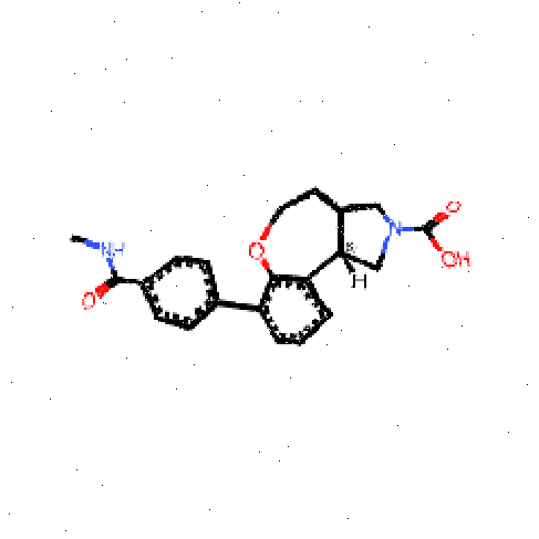 CNC(=O)c1ccc(-c2cccc3c2OCCC2CN(C(=O)O)C[C@H]32)cc1